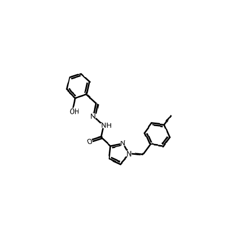 Cc1ccc(Cn2ccc(C(=O)N/N=C/c3ccccc3O)n2)cc1